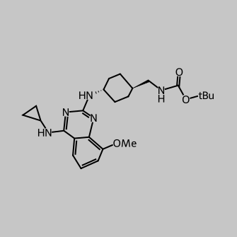 COc1cccc2c(NC3CC3)nc(N[C@H]3CC[C@H](CNC(=O)OC(C)(C)C)CC3)nc12